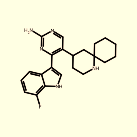 Nc1ncc(C2CCNC3(CCCCC3)C2)c(-c2c[nH]c3c(F)cccc23)n1